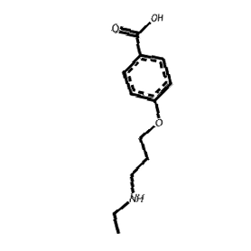 CCNCCCOc1ccc(C(=O)O)cc1